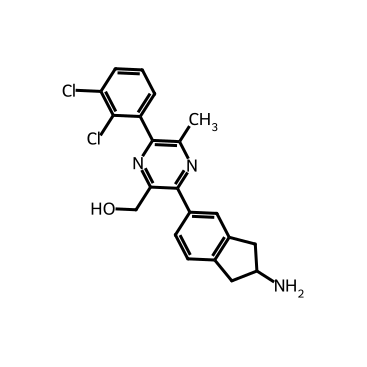 Cc1nc(-c2ccc3c(c2)CC(N)C3)c(CO)nc1-c1cccc(Cl)c1Cl